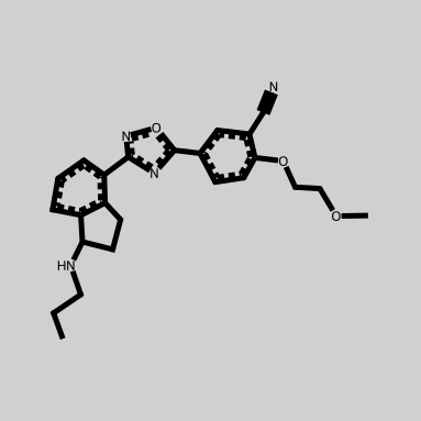 CCCNC1CCc2c(-c3noc(-c4ccc(OCCOC)c(C#N)c4)n3)cccc21